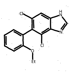 CCOc1ccccc1-c1c(Cl)cc2[nH][c]nc2c1Cl